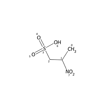 CC(CS(=O)(=O)O)[N+](=O)[O-]